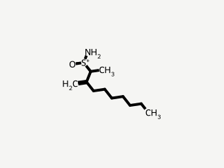 C=C(CCCCCCC)C(C)[S+](N)[O-]